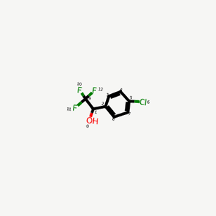 OC(c1ccc(Cl)cc1)C(F)(F)F